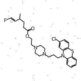 CC(/C=C/F)CCC(=O)OCCN1CCN(CCCN2c3ccccc3Sc3ccc(Cl)cc32)CC1